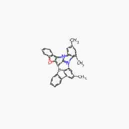 Cc1cc2c3c(c1)-n1c4c(C)cc(C)cc4n4c5c(oc6ccccc65)c(c14)B3c1ccccc1-2